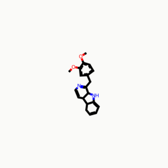 COc1ccc(CC2=NC=CC3C4CC=CC=C4NC23)cc1OC